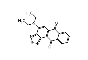 CCN(CC)c1cc2c(c3nsnc13)C(=O)c1ccccc1C2=O